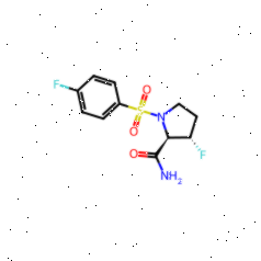 NC(=O)[C@@H]1[C@@H](F)CCN1S(=O)(=O)c1ccc(F)cc1